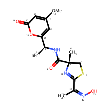 CCC[C@H](NC(=O)[C@]1(C)CSC(/C(C)=N\O)=N1)c1cc(OC)cc(=O)o1